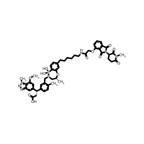 COc1cc([C@@H](CC(=O)O)c2ccc(C)c(CN3C[C@@H](C)Oc4cc(CCCCCCNC(=O)COc5cccc6c5C(=O)N(C5CCC(=O)N(C)C5=O)C6=O)ccc4S3(O)O)c2)cc2nnn(C)c12